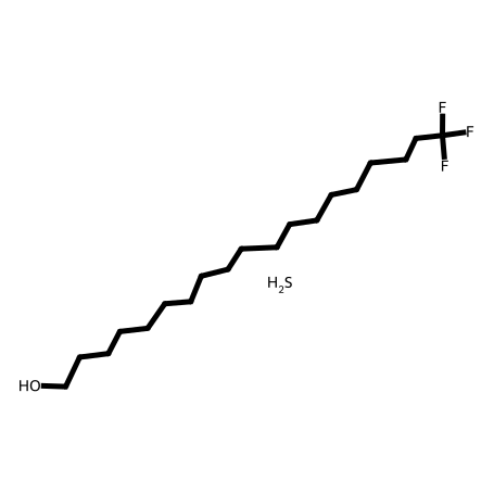 OCCCCCCCCCCCCCCCCCCC(F)(F)F.S